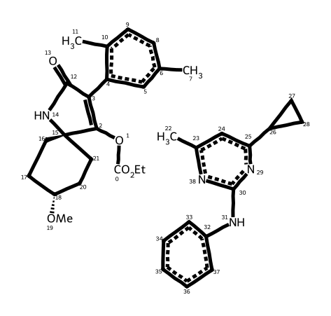 CCOC(=O)OC1=C(c2cc(C)ccc2C)C(=O)N[C@]12CC[C@@H](OC)CC2.Cc1cc(C2CC2)nc(Nc2ccccc2)n1